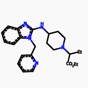 CCOC(=O)C(CC)N1CCC(Nc2nc3ccccc3n2Cc2ccccn2)CC1